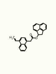 C=Cc1ccc(CC(=O)OC2Cc3cccc4cccc2c34)c2ccccc12